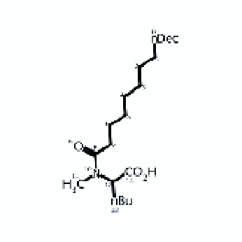 CCCCCCCCCCCCCCCCCC(=O)N(C)C(CCCC)C(=O)O